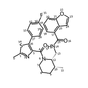 Cc1nc(C(=O)N2CCC[C@@H](C)[C@H]2CNC(=O)c2cccc3occc23)c(-c2ccc(F)cc2)s1